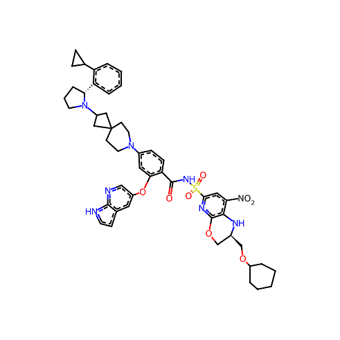 O=C(NS(=O)(=O)c1cc([N+](=O)[O-])c2c(n1)OC[C@H](COC1CCCCC1)N2)c1ccc(N2CCC3(CC2)CC(N2CCC[C@@H]2c2ccccc2C2CC2)C3)cc1Oc1cnc2[nH]ccc2c1